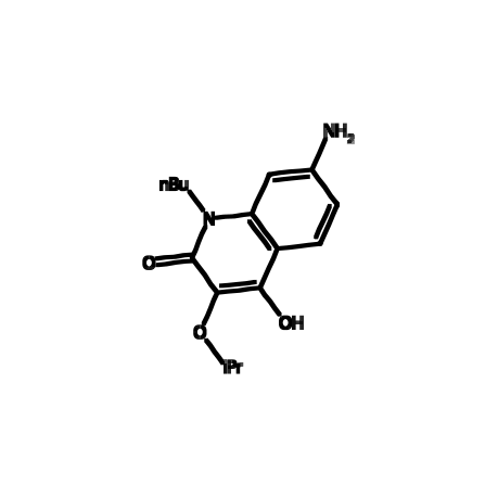 CCCCn1c(=O)c(OC(C)C)c(O)c2ccc(N)cc21